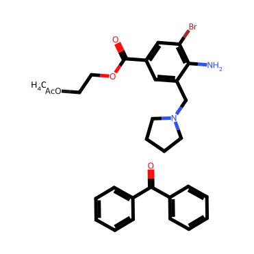 C.CC(=O)OCCOC(=O)c1cc(Br)c(N)c(CN2CCCC2)c1.O=C(c1ccccc1)c1ccccc1